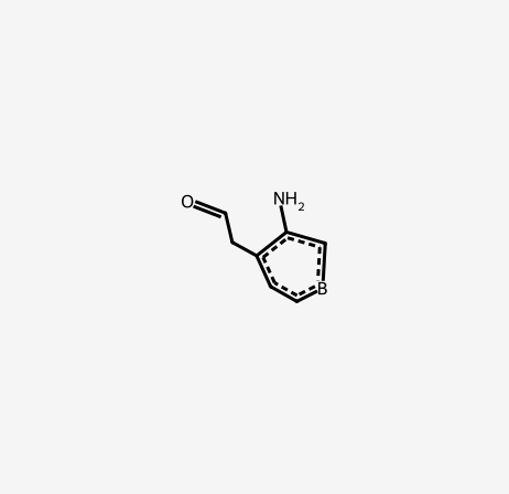 Nc1cbccc1CC=O